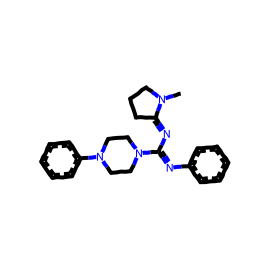 CN1CCCC1=NC(=Nc1ccccc1)N1CCN(c2ccccc2)CC1